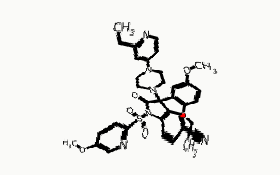 CCOc1ccc(OC)cc1C1(N2CCN(c3ccnc(CC)c3)CC2)C(=O)N(S(=O)(=O)c2ccc(OC)cn2)c2ccc(C#N)cc21